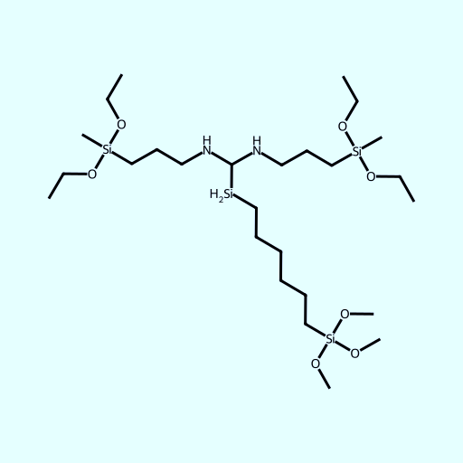 CCO[Si](C)(CCCNC(NCCC[Si](C)(OCC)OCC)[SiH2]CCCCCC[Si](OC)(OC)OC)OCC